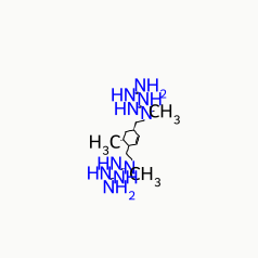 C[C@@H]1C[C@@H](CCN(C)C(=N)NC(=N)N)C=CC1CCN(C)C(=N)NC(=N)N